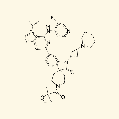 CC(C)n1cnc2cc(-c3ccc4c(c3)N([C@H]3C[C@@H](N5CCCCC5)C3)C(=O)C43CCN(C(=O)C4(C)CCO4)CC3)nc(Nc3ccncc3F)c21